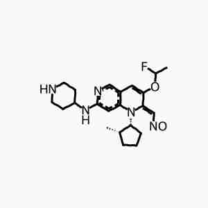 CC(F)OC1=Cc2cnc(NC3CCNCC3)cc2N([C@@H]2CCC[C@@H]2C)/C1=C\N=O